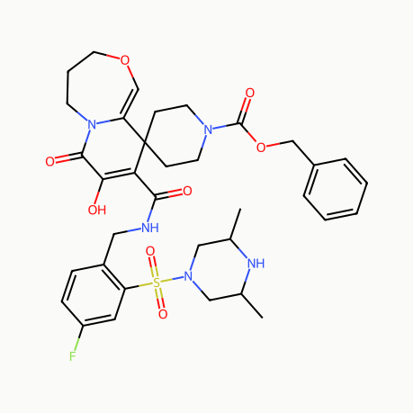 CC1CN(S(=O)(=O)c2cc(F)ccc2CNC(=O)C2=C(O)C(=O)N3CCCOC=C3C23CCN(C(=O)OCc2ccccc2)CC3)CC(C)N1